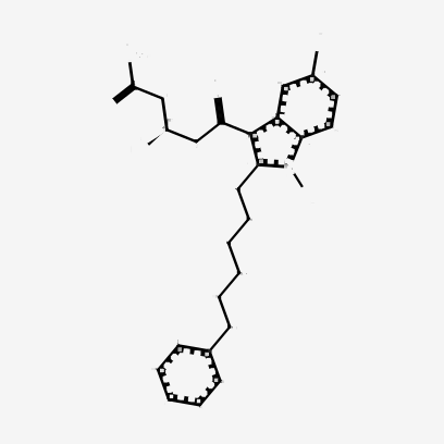 COC(=O)C[C@H](C)CC(=O)c1c(CCCCCCc2ccccc2)n(C)c2ccc(Cl)cc12